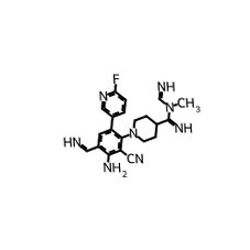 CN(C=N)C(=N)C1CCN(c2c(-c3ccc(F)nc3)cc(C=N)c(N)c2C#N)CC1